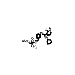 COCC(C)(C)CN1Cc2cc(Nc3nn(C4CCCCC4)c4cc[nH]c(=O)c34)ccc2[S+]1[O-]